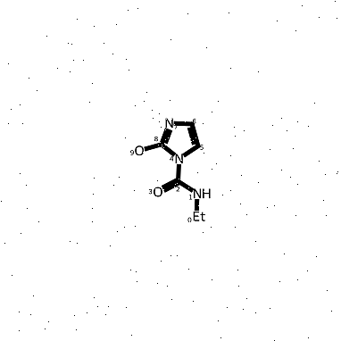 CCNC(=O)n1ccnc1[O]